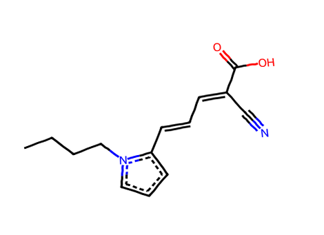 CCCCn1cccc1/C=C/C=C(\C#N)C(=O)O